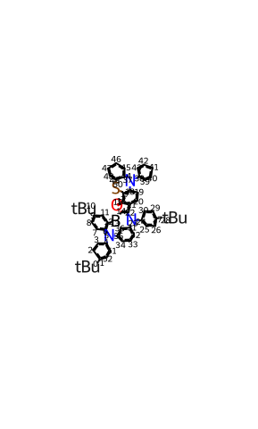 CC(C)(C)c1ccc(N2c3ccc(C(C)(C)C)cc3B3c4oc5c6c(ccc5c4N(c4ccc(C(C)(C)C)cc4)c4cccc2c43)N(c2ccccc2)c2ccccc2S6)cc1